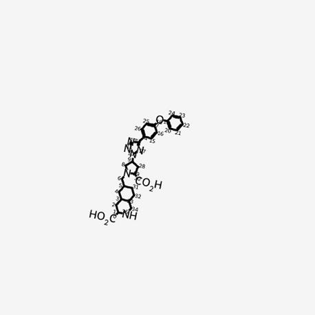 O=C(O)C1CC2CC(CN3CC(n4nnc(-c5ccc(Oc6ccccc6)cc5)n4)CC3C(=O)O)CCC2CN1